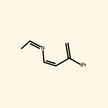 C=C(/C=C\N=C/C)C(C)C